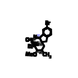 CC[C@H]1C[C@]2(Cc3ccc(Br)cc3/C2=N/[S@@+]([O-])C(C)(C)C)C[C@@H](C)[C@@H]1OC